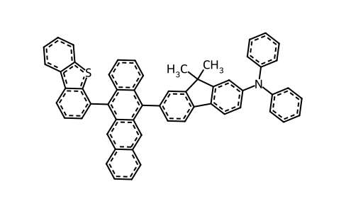 CC1(C)c2cc(-c3c4ccccc4c(-c4cccc5c4sc4ccccc45)c4cc5ccccc5cc34)ccc2-c2ccc(N(c3ccccc3)c3ccccc3)cc21